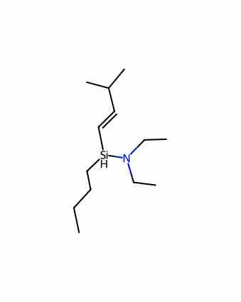 CCCC[SiH](C=CC(C)C)N(CC)CC